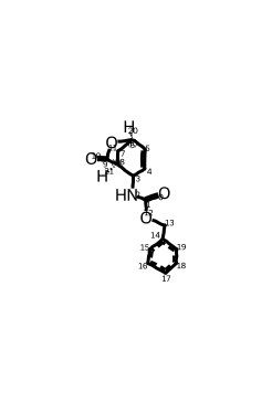 O=C(NC1C=C[C@H]2C[C@@H]1C(=O)O2)OCc1ccccc1